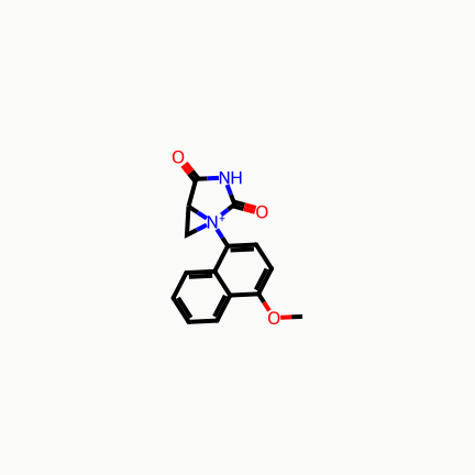 COc1ccc([N+]23CC2C(=O)NC3=O)c2ccccc12